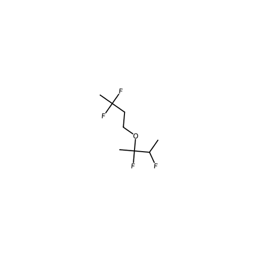 CC(F)C(C)(F)OCCC(C)(F)F